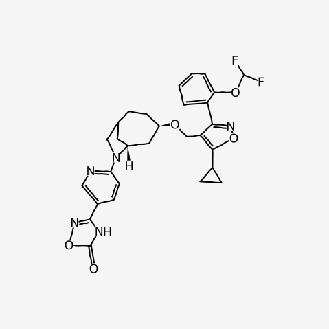 O=c1[nH]c(-c2ccc(N3CC4CC[C@@H](OCc5c(-c6ccccc6OC(F)F)noc5C5CC5)C[C@H]3C4)nc2)no1